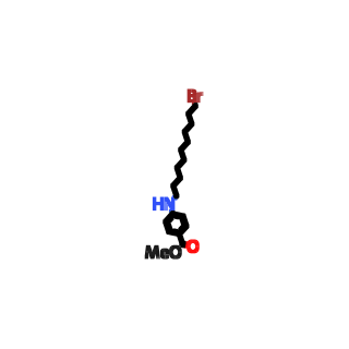 COC(=O)c1ccc(NCCCCCCCCCCCBr)cc1